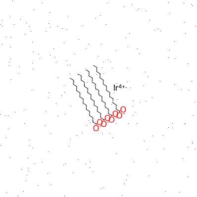 CCCCCCCCCCCCCCCC(=O)[O-].CCCCCCCCCCCCCCCC(=O)[O-].CCCCCCCCCCCCCCCC(=O)[O-].CCCCCCCCCCCCCCCC(=O)[O-].[Ir+4]